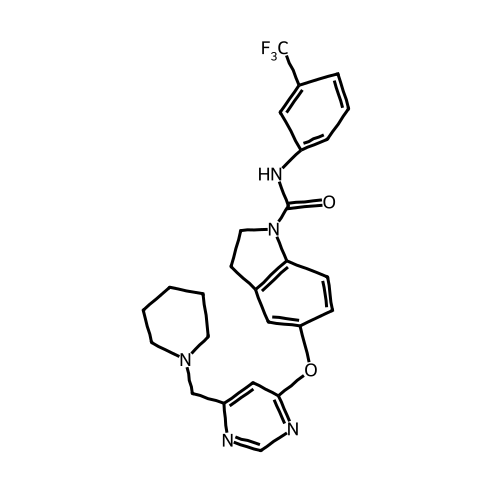 O=C(Nc1cccc(C(F)(F)F)c1)N1CCc2cc(Oc3cc(CN4CCCCC4)ncn3)ccc21